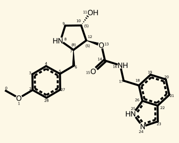 COc1ccc(C[C@H]2NC[C@H](O)[C@H]2OC(=O)NCc2cccc3cn[nH]c23)cc1